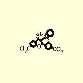 CCN1C(=C(C(=O)c2ccc(C(Cl)(Cl)Cl)cc2)C(=O)c2ccc(C(Cl)(Cl)Cl)cc2)Sc2ccccc21